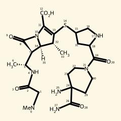 CNCC(=O)N[C@H](C)[C@H]1C(=O)N2C(C(=O)O)=C(SC3CNC(C(=O)N4CCC(N)(C(N)=O)CC4)C3)[C@H](C)[C@@H]12